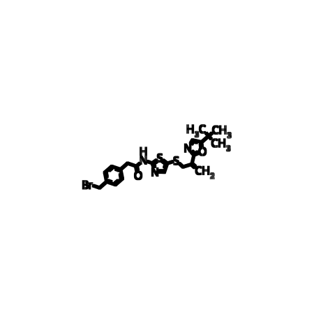 C=C(CSc1cnc(NC(=O)Cc2ccc(CBr)cc2)s1)c1ncc(C(C)(C)C)o1